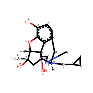 C[N+]1(CC2CC2)CC[C@]23c4c5ccc(O)c4O[C@H]2[C@](O)(C(=O)O)C[C@@]3(O)[C@H]1C5